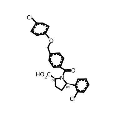 O=C(O)[C@@H]1CC[C@H](c2ccccc2Cl)N1C(=O)c1ccc(COc2ccc(Cl)cc2)cc1